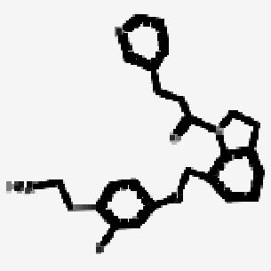 O=C(O)CCc1ccc(OCc2cccc3c2N(C(=O)CCc2cccnc2)CC3)cc1F